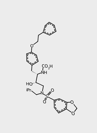 CC(C)CN(C[C@H](O)[C@H](Cc1ccc(OCCc2ccccc2)cc1)NC(=O)O)S(=O)(=O)c1ccc2c(c1)OCO2